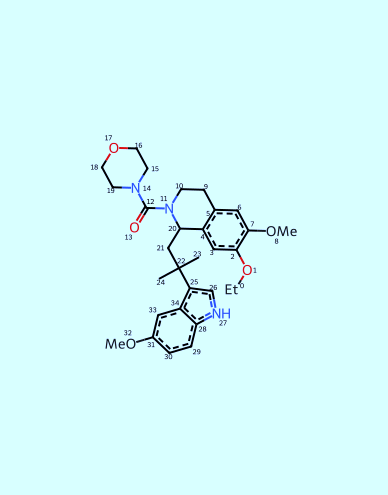 CCOc1cc2c(cc1OC)CCN(C(=O)N1CCOCC1)C2CC(C)(C)c1c[nH]c2ccc(OC)cc12